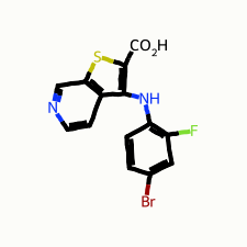 O=C(O)c1sc2cnccc2c1Nc1ccc(Br)cc1F